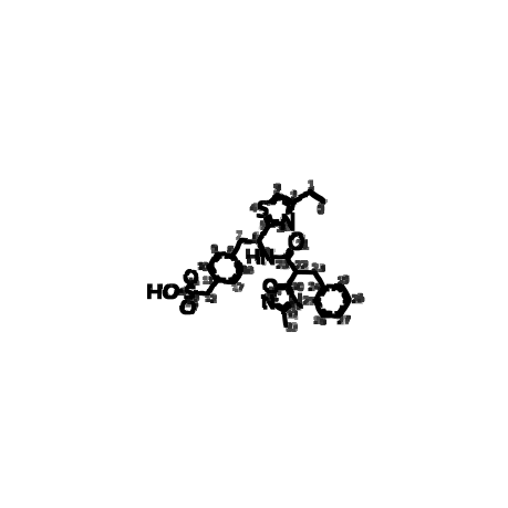 CCc1csc([C@H](Cc2ccc(CS(=O)(=O)O)cc2)NC(=O)C(Cc2ccccc2)c2nc(C)no2)n1